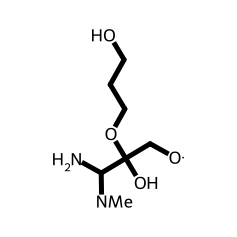 CNC(N)C(O)(C[O])OCCCO